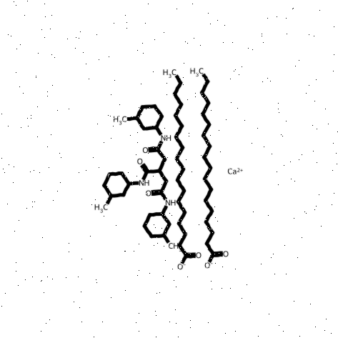 CC1CCCC(NC(=O)CC(CC(=O)NC2CCCC(C)C2)C(=O)NC2CCCC(C)C2)C1.CCCCCCCCCCCCCCCCCC(=O)[O-].CCCCCCCCCCCCCCCCCC(=O)[O-].[Ca+2]